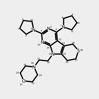 C1CCN(c2nc(N3CCCC3)c3c4c(n(CCN5CCOCC5)c3n2)CCSC4)C1